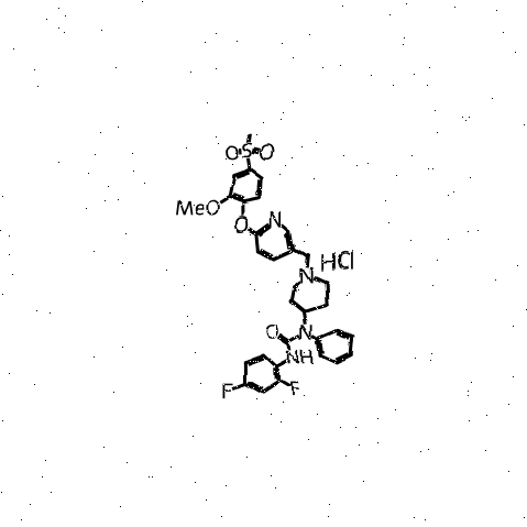 COc1cc(S(C)(=O)=O)ccc1Oc1ccc(CN2CCC(N(C(=O)Nc3ccc(F)cc3F)c3ccccc3)CC2)cn1.Cl